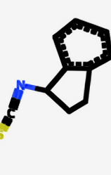 S=C=NC1CCc2ccccc21